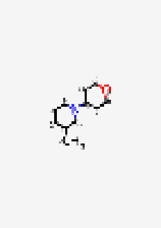 CC1CCCN(C2CCOCC2)C1